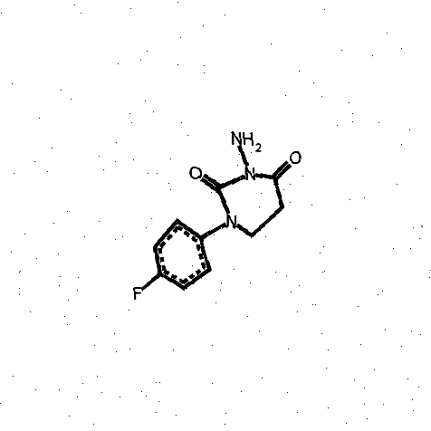 NN1C(=O)CCN(c2ccc(F)cc2)C1=O